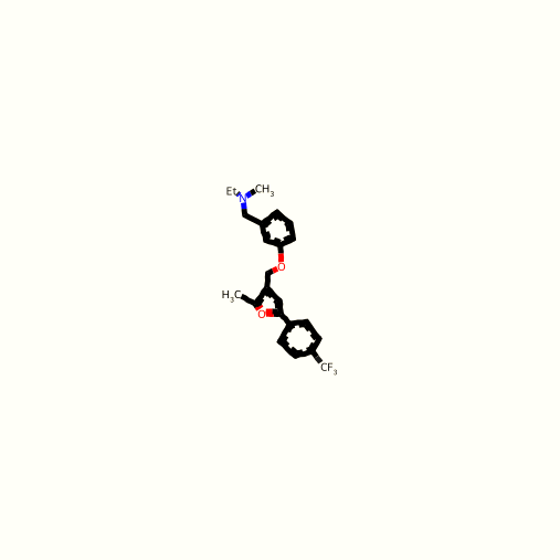 CCN(C)Cc1cccc(OCc2cc(-c3ccc(C(F)(F)F)cc3)oc2C)c1